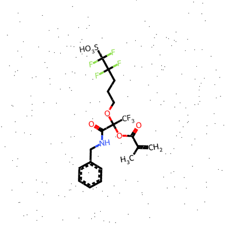 C=C(C)C(=O)OC(OCCCC(F)(F)C(F)(F)S(=O)(=O)O)(C(=O)NCc1ccccc1)C(F)(F)F